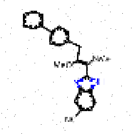 CN/C(=C(\Cc1ccc(-c2ccccc2)cc1)OC)c1nc2cc(C#N)ccc2[nH]1